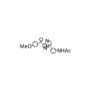 COc1ccc(C(=O)c2cnn3c(-c4cccc(NC(C)=O)c4)ccnc23)cc1